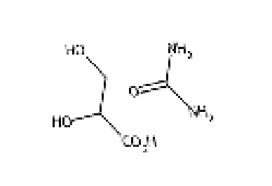 NC(N)=O.O=C(O)C(O)CO